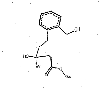 CC(C)[C@](O)(CCc1ccccc1CO)CC(=O)OC(C)(C)C